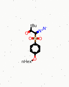 CCCCCCOc1ccc(S(=O)(=O)C(=[N+]=[N-])C(=O)C(C)(C)C)cc1